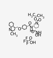 Cc1cc(COc2ccc(C(=O)N[C@@H]3CN(C(=O)OC(C)C)CC[C@@H]3C(=O)NO)cc2)c2ccccc2n1.O=C(O)C(F)(F)F